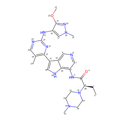 CC[C@H](C(=O)Nc1cncc2c(-c3nc(Nc4cn(C)nc4OC)ncc3C)c[nH]c12)N1CCN(C)CC1